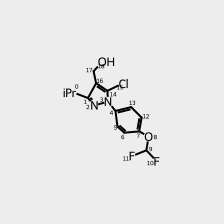 CC(C)c1nn(-c2ccc(OC(F)F)cc2)c(Cl)c1CO